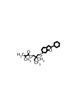 C=C(C)C(=O)OCC(C)(CSc1ccc2cc(-c3ccccc3)oc2c1)CC(F)(F)F